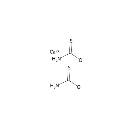 NC([O-])=S.NC([O-])=S.[Ca+2]